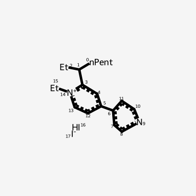 CCCCCC(CC)c1cc(-c2ccncc2)cc[n+]1CC.I.[I-]